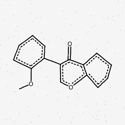 COc1ccccc1-c1coc2ccccc2c1=O